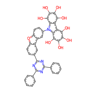 Oc1c(O)c(O)c2c(c1O)c1c(O)c(O)c(O)c(O)c1n2-c1ccc2oc3ccc(-c4nc(-c5ccccc5)nc(-c5ccccc5)n4)cc3c2c1